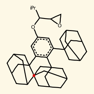 CC(C)C(Oc1cc(C23CC4CC(CC(C4)C2)C3)c(C23CC4CC(CC(C4)C2)C3)c(C23CC4CC(CC(C4)C2)C3)c1)C1CO1